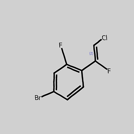 F/C(=C\Cl)c1ccc(Br)cc1F